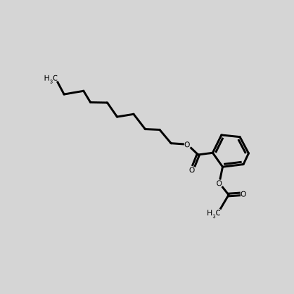 CCCCCCCCCCOC(=O)c1ccccc1OC(C)=O